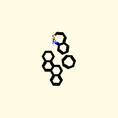 C1=CC=CCC=C1.C1=CSN=c2ccccc2=C1.c1ccc2c(c1)CCc1c-2ccc2c1CCCC2